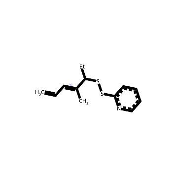 C=C/C=C(\C)C(CC)SSc1ccccn1